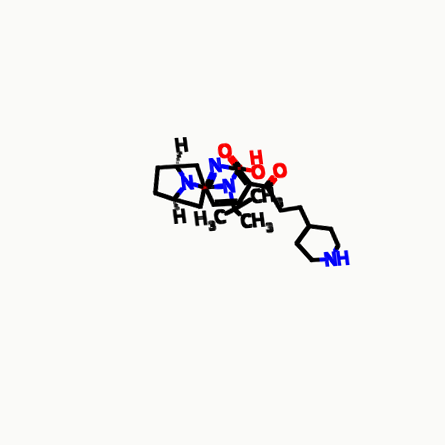 CC(C)(C)N(C(=O)O)[C@H]1C[C@H]2CC[C@@H](C1)N2c1ccc(C(=O)CCC2CCNCC2)cn1